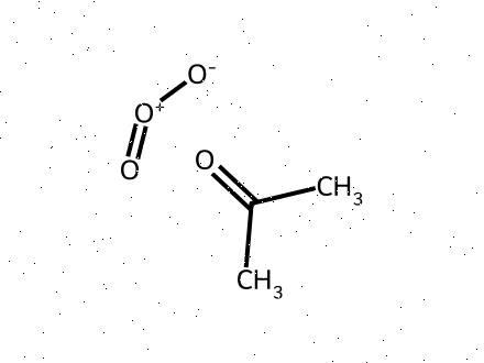 CC(C)=O.O=[O+][O-]